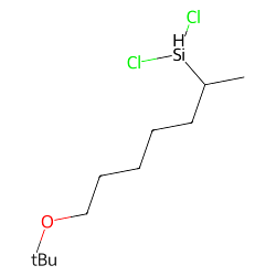 CC(CCCCCOC(C)(C)C)[SiH](Cl)Cl